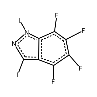 Fc1c(F)c(F)c2c(c(I)nn2I)c1F